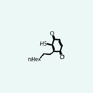 CCCCCCCCC1=C(S)C(=O)C=CC1=O